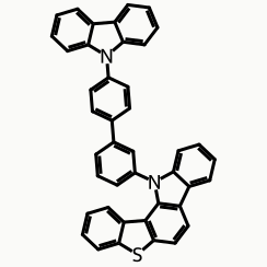 c1cc(-c2ccc(-n3c4ccccc4c4ccccc43)cc2)cc(-n2c3ccccc3c3ccc4sc5ccccc5c4c32)c1